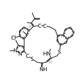 C=C(C)/C(C)=C1\CCCCc2cc(cc3ccccc23)SC/C(NC)=C/C(=N)CSCc2nn(C)c(C)c2-c2c(Cl)ccc1c2C